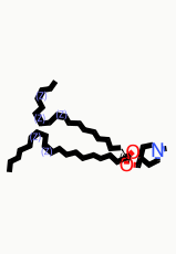 CC/C=C\C/C=C\C/C=C\CCCCCCCC[C@@]1(CCCCCCCC/C=C\C/C=C\CCCCC)OCC2(CCN(C)CC2)O1